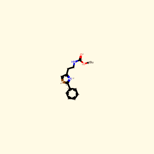 CC(C)(C)OC(=O)NCCc1csc(-c2ccccc2)n1